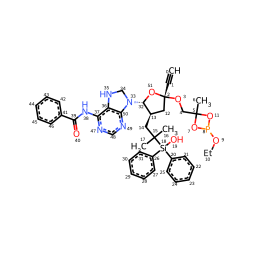 C#C[C@@]1(OCC2(C)OP(OCC)O2)C[C@@H](CC(C)(C)[Si](O)(c2ccccc2)c2ccccc2)[C@H](N2CNc3c(NC(=O)c4ccccc4)ncnc32)O1